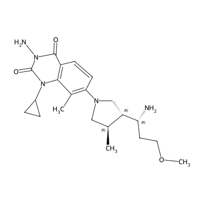 COCC[C@@H](N)[C@H]1CN(c2ccc3c(=O)n(N)c(=O)n(C4CC4)c3c2C)C[C@@H]1C